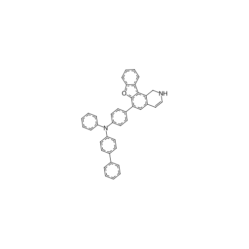 C1=Cc2cc(-c3ccc(N(c4ccccc4)c4ccc(-c5ccccc5)cc4)cc3)c3oc4ccccc4c3c2CN1